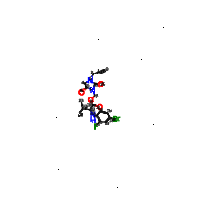 C#CCN1CC(=O)N(COC(=O)C(Nc2ccc(Br)cc2F)C(C)C)C1=O